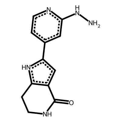 NNc1cc(-c2cc3c([nH]2)CCNC3=O)ccn1